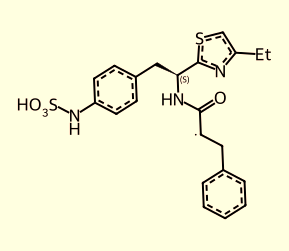 CCc1csc([C@H](Cc2ccc(NS(=O)(=O)O)cc2)NC(=O)[CH]Cc2ccccc2)n1